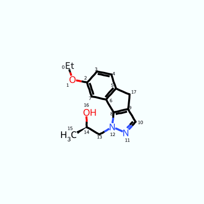 CCOc1ccc2c(c1)-c1c(cnn1C[C@@H](C)O)C2